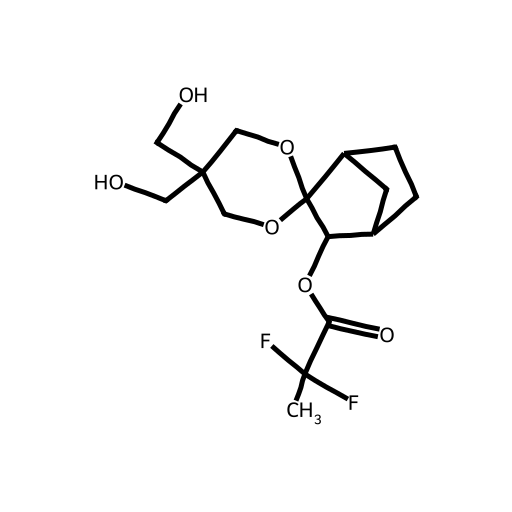 CC(F)(F)C(=O)OC1C2CCC(C2)C12OCC(CO)(CO)CO2